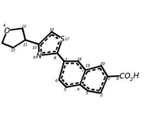 O=C(O)c1ccc2ccc(-c3nc(C4CCOC4)cs3)cc2c1